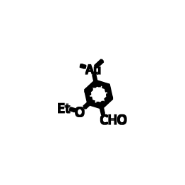 CCOc1c[c]([Au]([CH3])[CH3])ccc1C=O